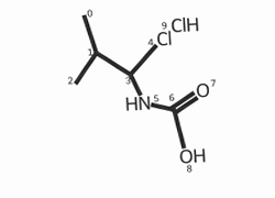 CC(C)C(Cl)NC(=O)O.Cl